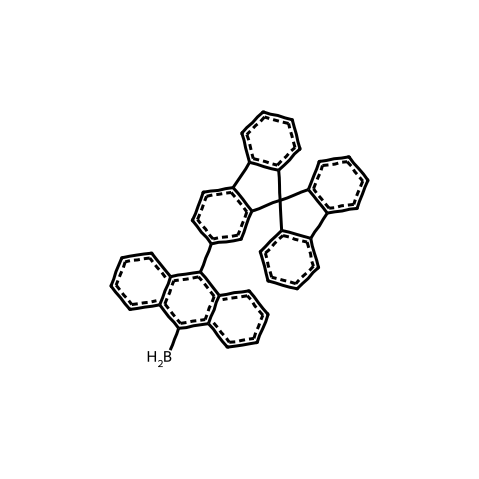 Bc1c2ccccc2c(-c2ccc3c(c2)C2(c4ccccc4-c4ccccc42)c2ccccc2-3)c2ccccc12